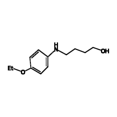 CCOc1ccc(NCCCCO)cc1